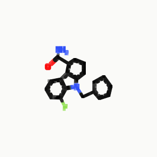 NC(=O)c1cccc2c1c1[c]ccc(F)c1n2Cc1ccccc1